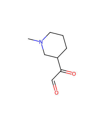 CN1CCCC(C(=O)C=O)C1